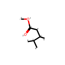 [CH]OC(=O)CC(C)C(C)C